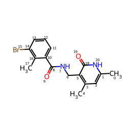 Cc1cc(C)c(CNC(=O)c2cccc(Br)c2C)c(=O)[nH]1